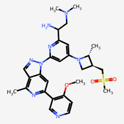 COc1ccncc1-c1cc2c(cnn2-c2cc(N3C[C@H](CS(C)(=O)=O)[C@H]3C)cc(C(N)CN(C)C)n2)c(C)n1